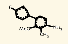 COc1c(-c2ccc(F)cc2)ccc(N)c1C